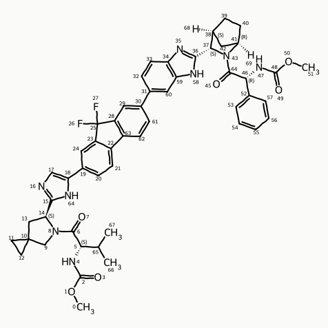 COC(=O)N[C@H](C(=O)N1CC2(CC2)C[C@H]1c1ncc(-c2ccc3c(c2)C(F)(F)c2cc(-c4ccc5nc([C@@H]6[C@H]7CC[C@H](C7)N6C(=O)[C@H](NC(=O)OC)c6ccccc6)[nH]c5c4)ccc2-3)[nH]1)C(C)C